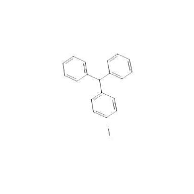 NN.c1ccc(C(c2ccccc2)c2ccccc2)cc1